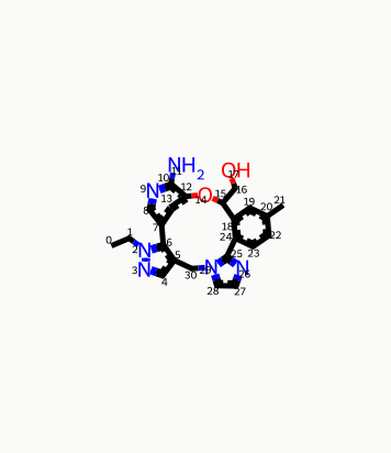 CCn1ncc2c1-c1cnc(N)c(c1)OC(CO)c1cc(C)ccc1-c1nccn1C2